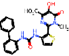 Cn1c(-c2sccc2NC(=O)Nc2ccccc2-c2ccccc2)nc(C(=O)O)c(O)c1=O